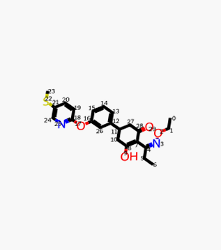 CCO/N=C(/CC)C1=C(O)CC(c2cccc(Oc3ccc(SC)cn3)c2)CC1=O